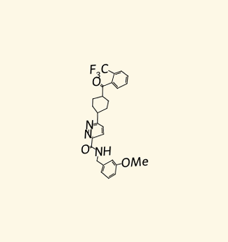 COc1cccc(CNC(=O)c2ccc(C3CCC(C(=O)c4ccccc4C(F)(F)F)CC3)nn2)c1